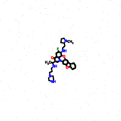 C=C(NCCCN1CCNCC1)c1cn2c3c(c(NCCC4CCCN4C)c(F)cc3c1=O)Oc1cc3c(cc1-2)oc1ccccc13